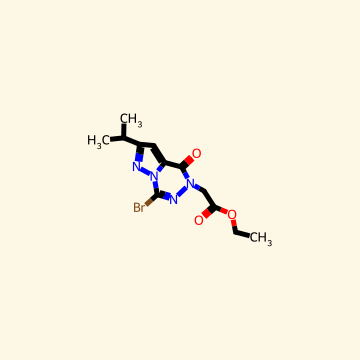 CCOC(=O)Cn1nc(Br)n2nc(C(C)C)cc2c1=O